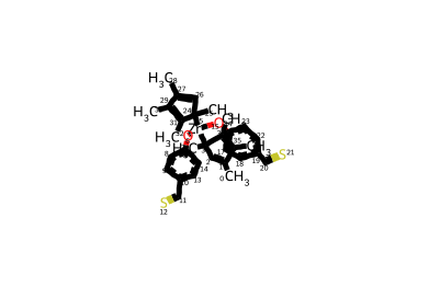 CC1=C[C](C)([Zr]([O]c2ccc(C=S)cc2)([O]c2ccc(C=S)cc2)[C]2(C)C=C(C)C(C)=C2C)C(C)=C1C